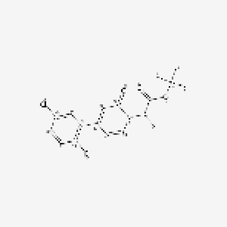 CC(C(=O)OC(C)(C)C)n1ccc(-c2cc(Cl)ccc2Cl)cc1=O